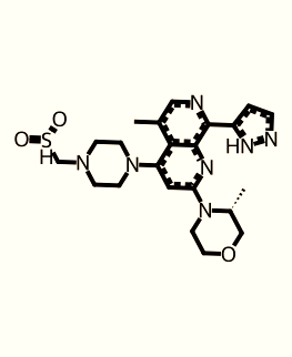 Cc1cnc(-c2ccn[nH]2)c2nc(N3CCOC[C@H]3C)cc(N3CCN(C[SH](=O)=O)CC3)c12